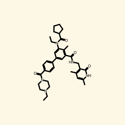 CCN1CCN(C(=O)c2ccc(-c3cc(C(=O)NCc4c(C)cc(C)[nH]c4=O)c(C)c(N(CC)C(=O)C4CCCC4)c3)cc2)CC1